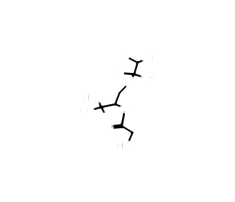 CC(O)C(C)(C)CCC(OC(=O)CS)C(C)(C)C